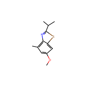 COc1cc(C)c2nc(C(C)C)sc2c1